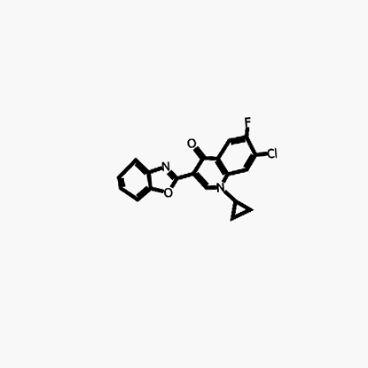 O=c1c(-c2nc3ccccc3o2)cn(C2CC2)c2cc(Cl)c(F)cc12